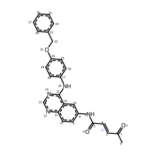 CC(=O)/C=C/C(=O)Nc1ccc2ncnc(Nc3ccc(OCc4ccccc4)cc3)c2c1